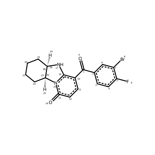 O=C(c1ccc(F)c(Br)c1)c1ccc(=O)n2c1N[C@@H]1CCCC[C@@H]12